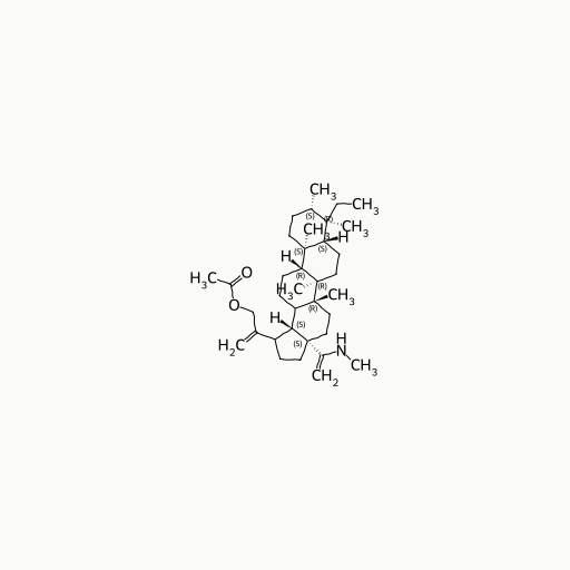 C=C(COC(C)=O)C1CC[C@]2(C(=C)NC)CC[C@]3(C)C(CC[C@@H]4[C@@]5(C)CC[C@H](C)[C@@](C)(CC)[C@@H]5CC[C@]43C)[C@@H]12